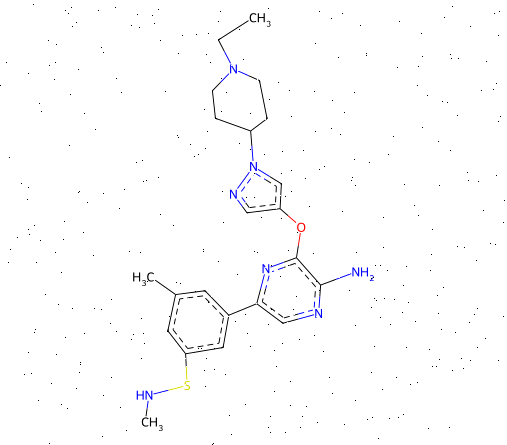 CCN1CCC(n2cc(Oc3nc(-c4cc(C)cc(SNC)c4)cnc3N)cn2)CC1